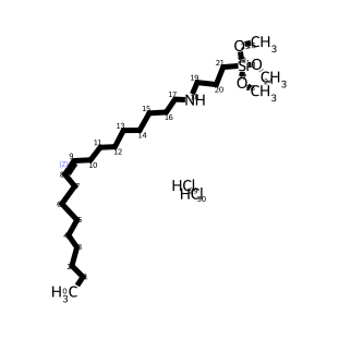 CCCCCCCC/C=C\CCCCCCCCNCCC[Si](OC)(OC)OC.Cl.Cl